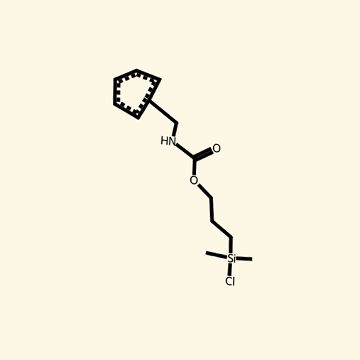 C[Si](C)(Cl)CCCOC(=O)NCc1ccccc1